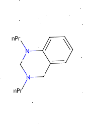 CCCN1Cc2ccccc2N(CCC)C1